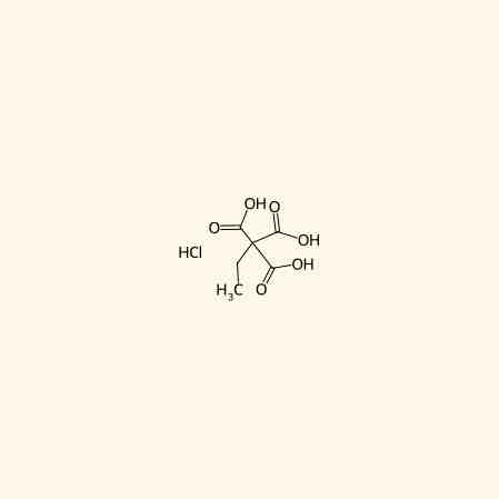 CCC(C(=O)O)(C(=O)O)C(=O)O.Cl